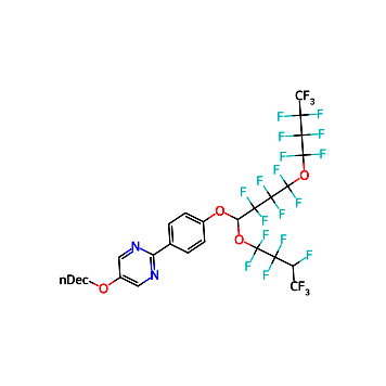 CCCCCCCCCCOc1cnc(-c2ccc(OC(OC(F)(F)C(F)(F)C(F)C(F)(F)F)C(F)(F)C(F)(F)C(F)(F)OC(F)(F)C(F)(F)C(F)(F)C(F)(F)F)cc2)nc1